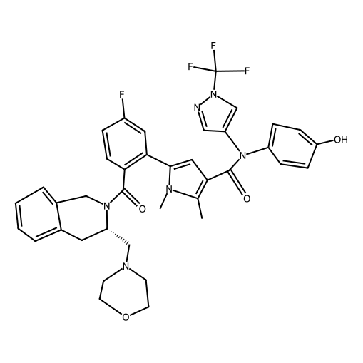 Cc1c(C(=O)N(c2ccc(O)cc2)c2cnn(C(F)(F)F)c2)cc(-c2cc(F)ccc2C(=O)N2Cc3ccccc3C[C@H]2CN2CCOCC2)n1C